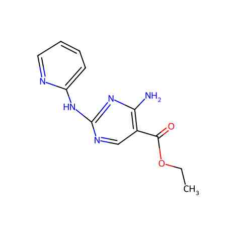 CCOC(=O)c1cnc(Nc2ccccn2)nc1N